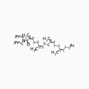 CC(=O)CCC=C(C)CCC=C(C)CCC=C(C)CCC=C(C)C(=O)N(CC(C)C)CC(C)C